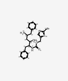 CC(C)c1ncc(COC(=O)NC(Cc2ccccc2)C(O)CC(N)Cc2ccccc2)s1